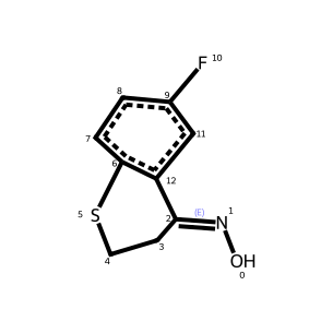 O/N=C1\CCSc2ccc(F)cc21